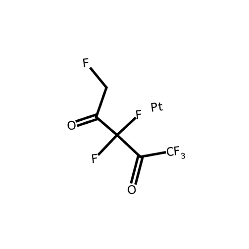 O=C(CF)C(F)(F)C(=O)C(F)(F)F.[Pt]